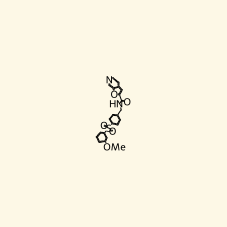 COc1cccc(S(=O)(=O)c2ccc(CNC(=O)c3cc4ccncc4o3)cc2)c1